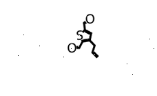 C=CCc1cc(C=O)sc1C=O